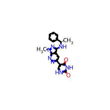 C[C@H](Nc1nn(C)c2nnc(-c3c[nH]c(=O)[nH]c3=O)cc12)c1ccccc1